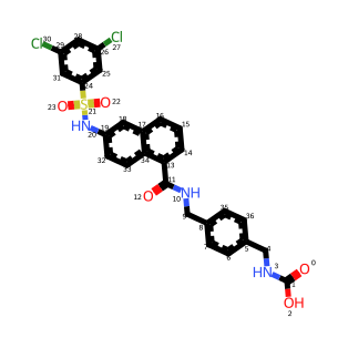 O=C(O)NCc1ccc(CNC(=O)c2cccc3cc(NS(=O)(=O)c4cc(Cl)cc(Cl)c4)ccc23)cc1